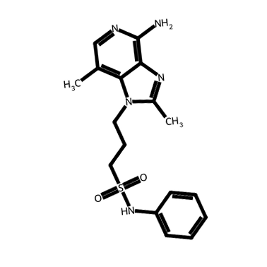 Cc1cnc(N)c2nc(C)n(CCCS(=O)(=O)Nc3ccccc3)c12